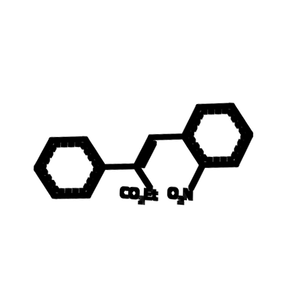 CCOC(=O)C(=Cc1ccccc1[N+](=O)[O-])c1ccccc1